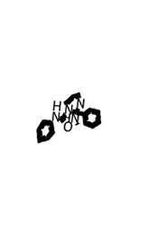 CNC1(c2ccccc2)N=CC=CN1C(=O)Nc1ccccc1